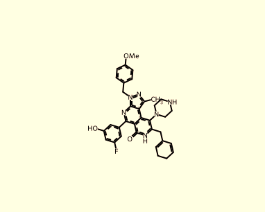 COc1ccc(Cn2nc(C)c3c4c(N5CCNCC5)c(CC5=CCCC=C5)[nH]c(=O)c4c(-c4cc(O)cc(F)c4)nc32)cc1